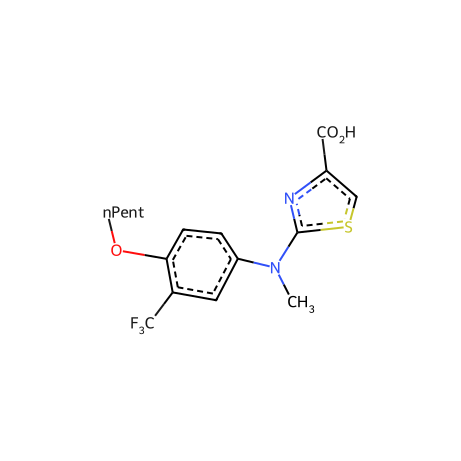 CCCCCOc1ccc(N(C)c2nc(C(=O)O)cs2)cc1C(F)(F)F